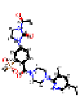 CCc1cnc(N2CCN(C(=O)c3ccc(N4CCN(C(C)=O)C4=O)cc3S(C)(=O)=O)CC2)c(C)c1